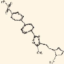 CCCS(=O)(=O)c1ccc(-c2ccc(-c3nc(CCN4CCCC4C)c(C)o3)cc2)cc1